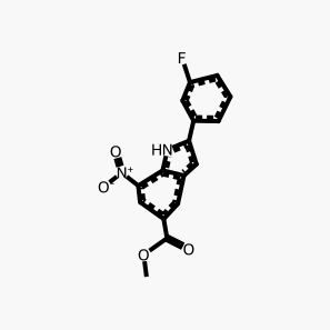 COC(=O)c1cc([N+](=O)[O-])c2[nH]c(-c3cccc(F)c3)cc2c1